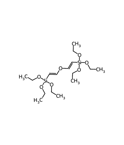 CCO[Si](C=COC=C[Si](OCC)(OCC)OCC)(OCC)OCC